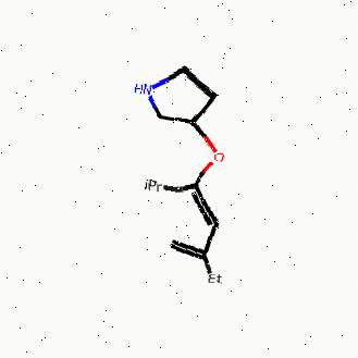 C=C(/C=C(/OC1CCNC1)C(C)C)CC